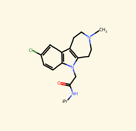 CC(C)NC(=O)Cn1c2c(c3cc(Cl)ccc31)CCN(C)CC2